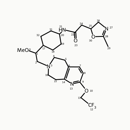 COC(CN1CCc2ccc(OCC(F)(F)F)nc2CC1)C1CCC(NC(=O)CC2CN=C(C)O2)CC1